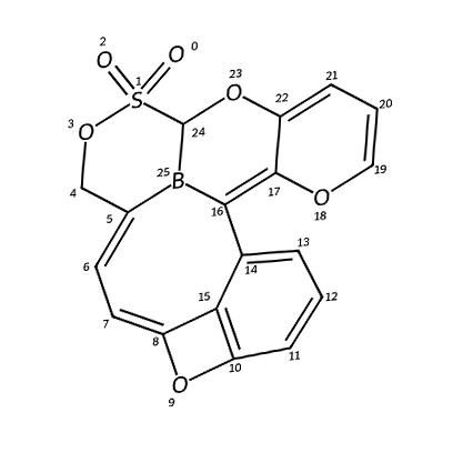 O=S1(=O)OCC2=CC=C3Oc4cccc(c43)C3=C4OC=CC=C4OC1B23